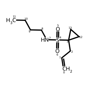 C=CCC1(S(=O)(=O)NCCCC)CC1